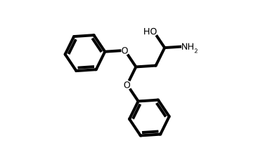 NC(O)CC(Oc1ccccc1)Oc1ccccc1